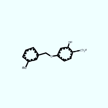 CCC(C)c1cccc(COc2ccc(C(=O)O)c(O)c2)c1